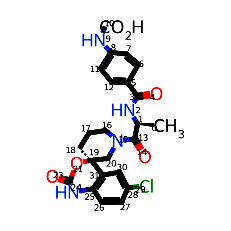 C[C@H](NC(=O)c1ccc(NC(=O)O)cc1)C(=O)N1CCC[C@@]2(C1)OC(=O)Nc1ccc(Cl)cc12